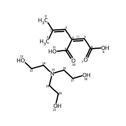 CC(C)=C/C(=C/C(=O)O)C(=O)O.OCCN(CCO)CCO